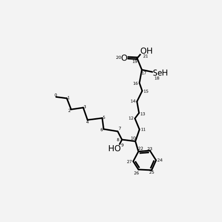 CCCCCCCCC(O)C(CCCCCCC([SeH])C(=O)O)c1ccccc1